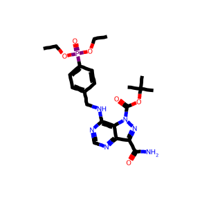 CCOP(=O)(OCC)c1ccc(CNc2ncnc3c(C(N)=O)nn(C(=O)OC(C)(C)C)c23)cc1